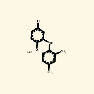 Cl.Nc1cc([N+](=O)[O-])ccc1Nc1cc(Cl)ccc1O